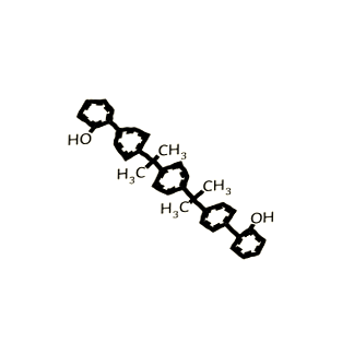 CC(C)(c1ccc(-c2ccccc2O)cc1)c1ccc(C(C)(C)c2ccc(-c3ccccc3O)cc2)cc1